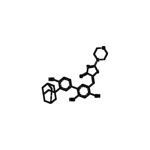 O=C1N=C(N2CCOCC2)SC1=Cc1cc(-c2ccc(O)c(C34CC5CC(CC(C5)C3)C4)c2)c(O)cc1O